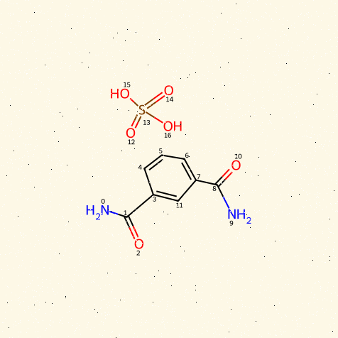 NC(=O)c1cccc(C(N)=O)c1.O=S(=O)(O)O